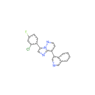 Fc1ccc(-c2cnc3c(-c4cncc5ccccc45)ccnn23)c(Cl)c1